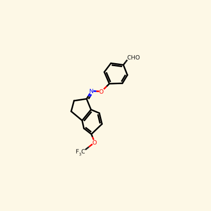 O=Cc1ccc(O/N=C2/CCc3cc(OC(F)(F)F)ccc32)cc1